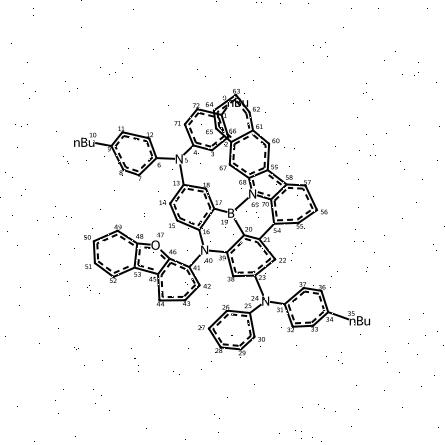 CCCCc1ccc(N(c2ccc(CCCC)cc2)c2ccc3c(c2)B2c4c(cc(N(c5ccccc5)c5ccc(CCCC)cc5)cc4N3c3cccc4c3oc3ccccc34)-c3cccc4c5cc6ccccc6cc5n2c34)cc1